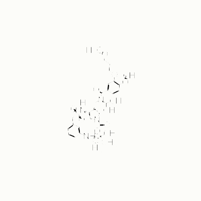 COCCCOc1cc(C(=O)N(C[C@@H]2CN(C(=O)OC(C)(C)C)C[C@H]2NS(=O)(=O)Cc2cccc(N)c2)C(C)C)ccc1OC